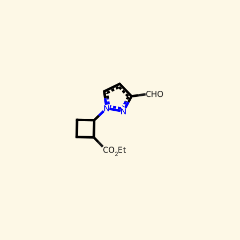 CCOC(=O)C1CCC1n1ccc(C=O)n1